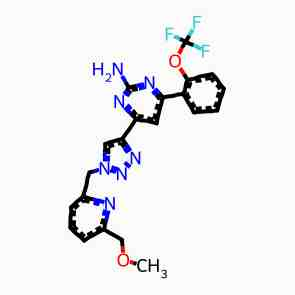 COCc1cccc(Cn2cc(-c3cc(-c4ccccc4OC(F)(F)F)nc(N)n3)nn2)n1